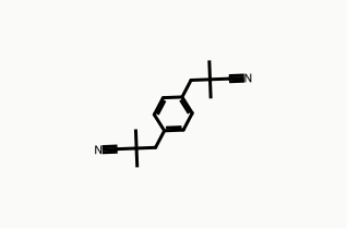 CC(C)(C#N)Cc1ccc(CC(C)(C)C#N)cc1